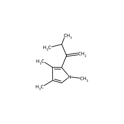 C=C(c1c(C)c(C)cn1C)C(C)C